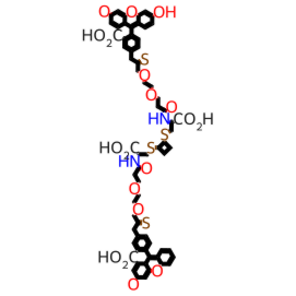 O=C1C=CC2C(=C1)OC1C=CC=CC1=C2c1ccc(CC(=S)COCCOCCC(=O)NC(CSC2CCC2SCC(NC(=O)CCOCCOCC(=S)Cc2ccc(C3=C4C=CC(O)=CC4OC4=CC(=O)C=CC43)c(C(=O)O)c2)C(=O)O)C(=O)O)cc1C(=O)O